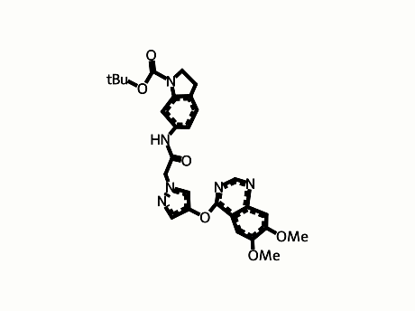 COc1cc2ncnc(Oc3cnn(CC(=O)Nc4ccc5c(c4)N(C(=O)OC(C)(C)C)CC5)c3)c2cc1OC